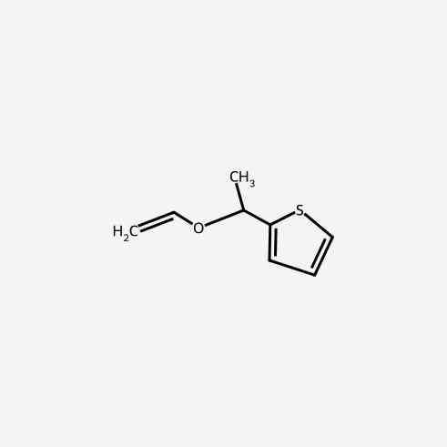 C=COC(C)c1cccs1